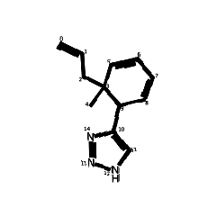 C=CCC1(C)C=CC=CC1c1c[nH]nn1